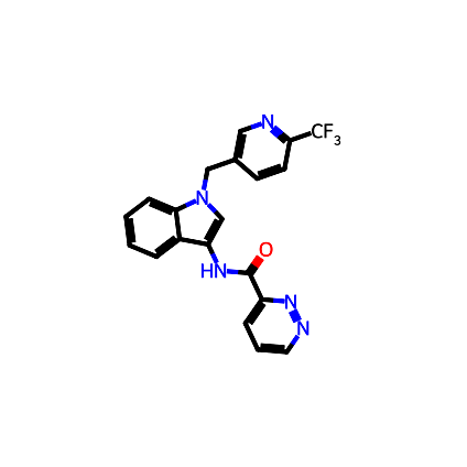 O=C(Nc1cn(Cc2ccc(C(F)(F)F)nc2)c2ccccc12)c1cccnn1